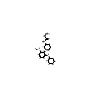 CC(C)(C)OC(=O)N[C@@H]1CCCN(c2c(C=O)cccc2OC2CCCCC2)C1